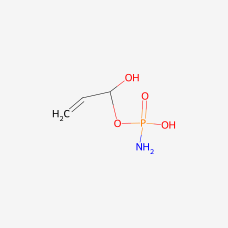 C=CC(O)OP(N)(=O)O